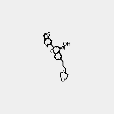 ON=c1cc(-c2cc3sccc3cn2)oc2ccc(CCCN3CCOCC3)cc12